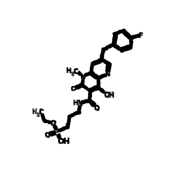 CCOP(=O)(O)CCCNC(=O)c1c(O)c2ncc(Cc3ccc(F)cc3)cc2n(C)c1=O